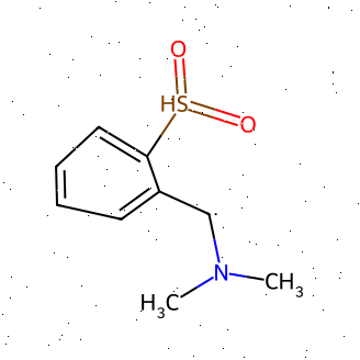 CN(C)[CH]c1ccccc1[SH](=O)=O